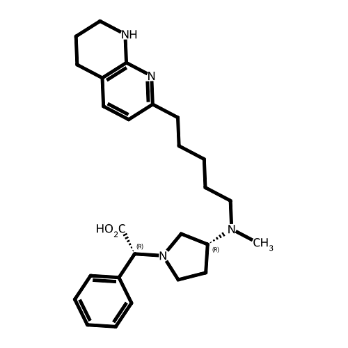 CN(CCCCCc1ccc2c(n1)NCCC2)[C@@H]1CCN([C@@H](C(=O)O)c2ccccc2)C1